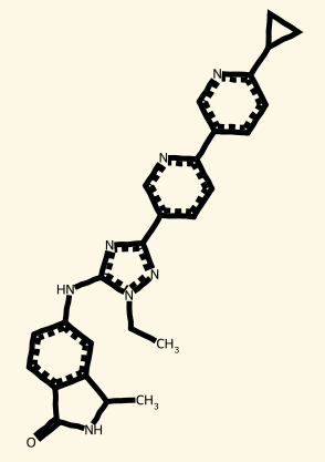 CCn1nc(-c2ccc(-c3ccc(C4CC4)nc3)nc2)nc1Nc1ccc2c(c1)C(C)NC2=O